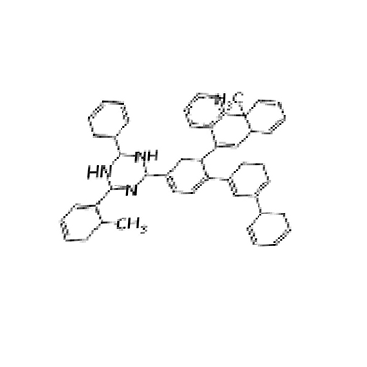 CC1CC=CC=C1C1=NC(C2=CC=C(C3=CC(C4C=CC=CC4)=CCC3)C(C3=CC4C=CC=CC4(C)c4ccccc43)C2)NC(C2C=CC=CC2)N1